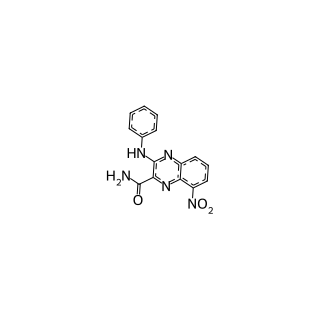 NC(=O)c1nc2c([N+](=O)[O-])cccc2nc1Nc1ccccc1